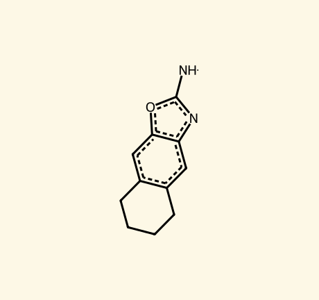 [NH]c1nc2cc3c(cc2o1)CCCC3